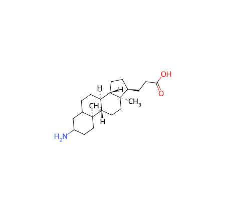 C[C@]12CC[C@H]3[C@@H](CCC4CC(N)CC[C@@]43C)[C@@H]1CC[C@H]2CCC(=O)O